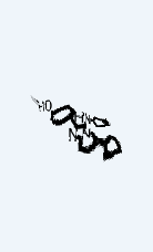 Oc1ccc(-c2nc3ccc(-c4ccccc4)cn3c2NC2CCCC2)cc1